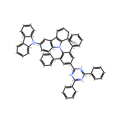 CC1CC=Cc2c1n(-c1c(-c3ccccc3)cc(-c3nc(-c4ccccc4)nc(-c4ccccc4)n3)cc1-c1ccccc1)c1ccc(-n3c4ccccc4c4ccccc43)cc21